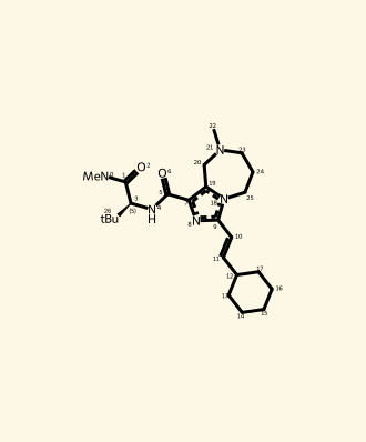 CNC(=O)[C@@H](NC(=O)c1nc(C=CC2CCCCC2)n2c1CN(C)CCC2)C(C)(C)C